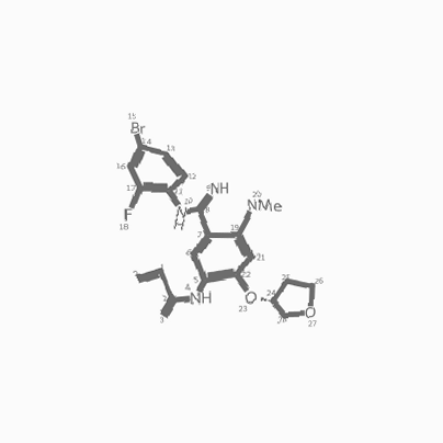 C=CC(=C)Nc1cc(C(=N)Nc2ccc(Br)cc2F)c(NC)cc1O[C@@H]1CCOC1